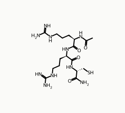 CC(=O)N[C@H](CCCNC(=N)N)C(=O)N[C@H](CCCNC(=N)N)C(=O)N[C@H](CS)C(N)=O